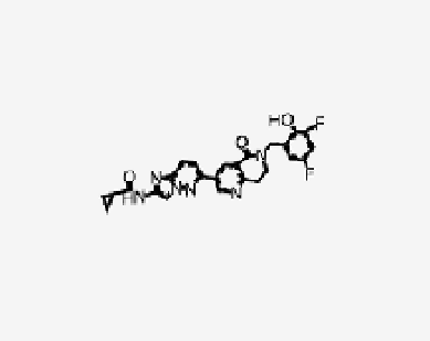 O=C(Nc1cn2nc(-c3cnc4c(c3)C(=O)N(Cc3cc(F)cc(F)c3O)CC4)ccc2n1)C1CC1